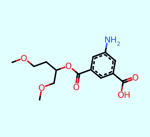 COCCC(COC)OC(=O)c1cc(N)cc(C(=O)O)c1